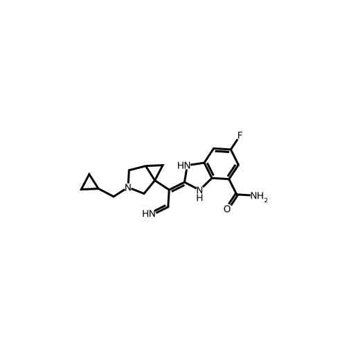 N=C/C(=C1/Nc2cc(F)cc(C(N)=O)c2N1)C12CC1CN(CC1CC1)C2